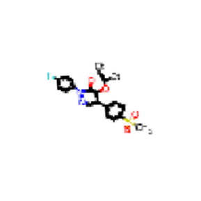 CCC=C(CC)Oc1c(-c2ccc(S(C)(=O)=O)cc2)cnn(-c2ccc(F)cc2)c1=O